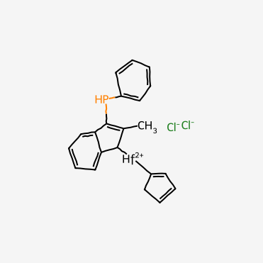 CC1=C(Pc2ccccc2)c2ccccc2[CH]1[Hf+2][C]1=CC=CC1.[Cl-].[Cl-]